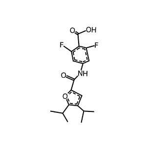 CC(C)c1cc(C(=O)Nc2cc(F)c(C(=O)O)c(F)c2)oc1C(C)C